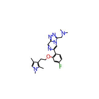 Cc1cn(C)c(C)c1CCOc1cc(F)ccc1-c1cn2c(CN(C)C)nnc2cn1